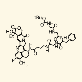 CCC1(O)C(=O)OCc2c1cc1n(c2=O)Cc2c-1nc1cc(F)c(C)c3c1c2C(NC(=O)CCCNC(=O)CNC(=O)[C@H](Cc1ccccc1)NC(=O)CNC(=O)CNC(=O)OC(C)(C)C)CC3